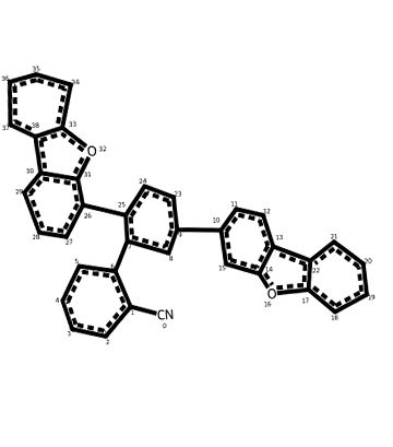 N#Cc1ccccc1-c1cc(-c2ccc3c(c2)oc2ccccc23)ccc1-c1cccc2c1oc1ccccc12